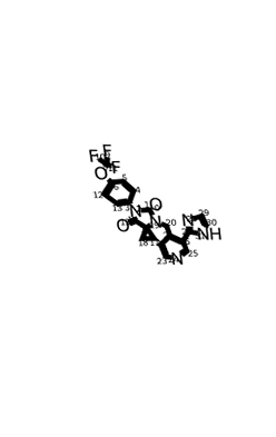 O=C1N(c2ccc(OC(F)(F)F)cc2)C(=O)C2(CC2)N1Cc1ccncc1-c1ncc[nH]1